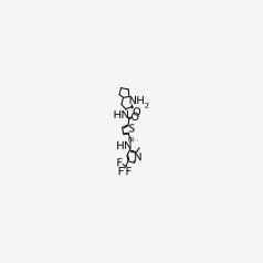 Cc1ncc(C(F)(F)F)cc1N[C@@H](C)c1ccc(C(=O)NC(CC2CCCC2)C(N)=O)s1